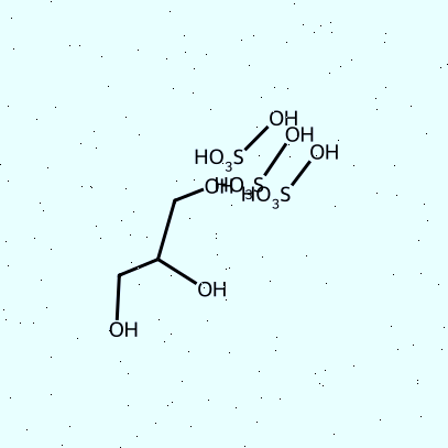 O=S(=O)(O)O.O=S(=O)(O)O.O=S(=O)(O)O.OCC(O)CO